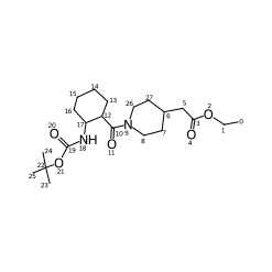 CCOC(=O)CC1CCN(C(=O)C2CCCCC2NC(=O)OC(C)(C)C)CC1